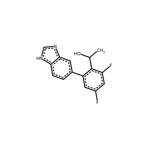 CC(O)c1c(F)cc(F)cc1-c1ccc2[nH]cnc2c1